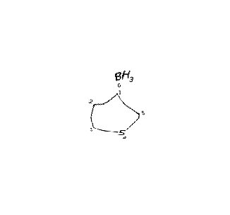 B.C1CCSC1